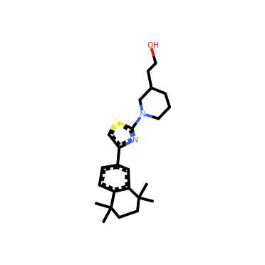 CC1(C)CCC(C)(C)c2cc(-c3csc(N4CCCC(CCO)C4)n3)ccc21